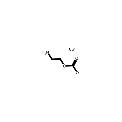 NCCOC(=O)[O-].[Cu+]